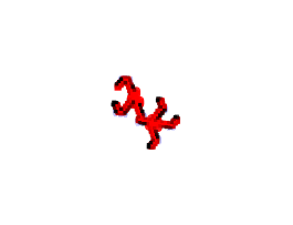 CCCCC/C=C\C/C=C\CCCCCCCC(=O)OCC(COC(=O)CCCCCCC/C=C\C/C=C\CCCCCC(OC(=O)CCCCCCC/C=C\CCCCCC)C(COC(=O)CCCCCCC/C=C\CCCCCC)OC(=O)CCCCCCC/C=C\CCCCCC)OC(=O)CCCCCCC/C=C\C/C=C\CCCCC